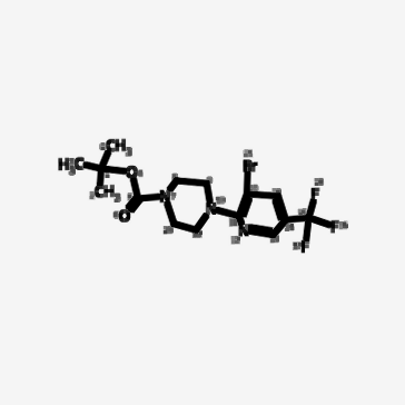 CC(C)(C)OC(=O)N1CCN(c2ncc(C(F)(F)F)cc2Br)CC1